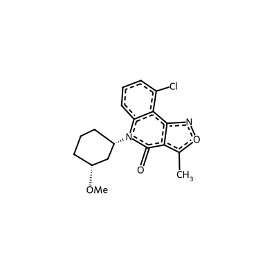 CO[C@@H]1CCC[C@H](n2c(=O)c3c(C)onc3c3c(Cl)cccc32)C1